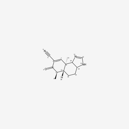 C[C@H]1C(=O)C(C#N)=C[C@@]2(C)C3N=CNC3CC[C@H]12